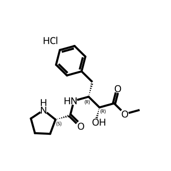 COC(=O)[C@H](O)[C@@H](Cc1ccccc1)NC(=O)[C@@H]1CCCN1.Cl